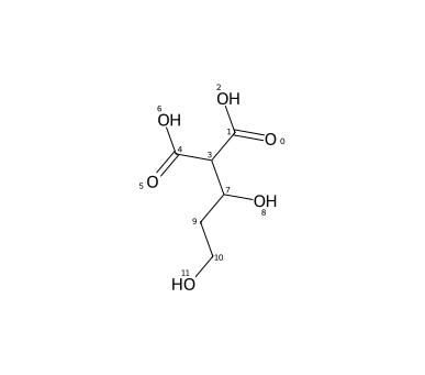 O=C(O)C(C(=O)O)C(O)CCO